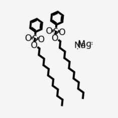 CCCCCCCCCCCCOS(=O)(=O)c1ccccc1.CCCCCCCCCCCCOS(=O)(=O)c1ccccc1.[Mg].[Na]